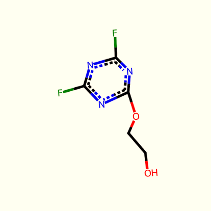 OCCOc1nc(F)nc(F)n1